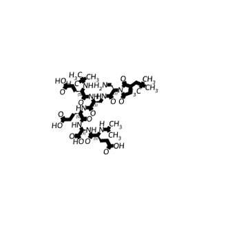 CC(C)N[C@@H](CCC(=O)O)C(=O)N[C@@H](NC(=O)[C@H](CCC(=O)O)NC(=O)[C@H](CNC(=O)[C@H](CN)N1C(=O)CC(CC(C)(C)C)C1=O)NC(=O)[C@H](CCC(=O)O)NC(C)(C)C)C(=O)O